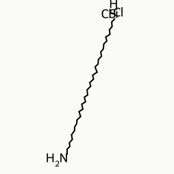 NCCCCCCCCCCCCCCCCCCCCCCCCCCCCCCCCCCCCC[SiH](Cl)Cl